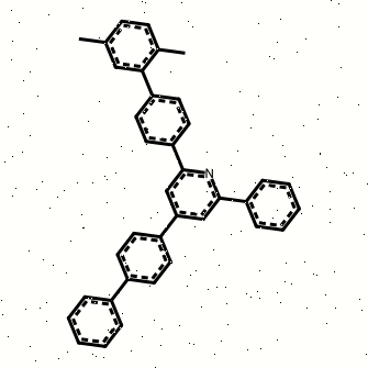 Cc1ccc(C)c(-c2ccc(-c3cc(-c4ccc(-c5ccccc5)cc4)cc(-c4ccccc4)n3)cc2)c1